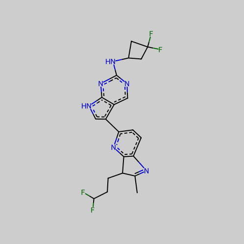 CC1=Nc2ccc(-c3c[nH]c4nc(NC5CC(F)(F)C5)ncc34)nc2C1CCC(F)F